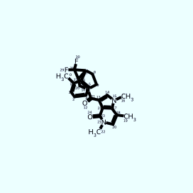 Cc1ccccc1C12CCN(C(=O)c3cn(C)c4c(C)cn(C)c(=O)c34)CC1C2(F)F